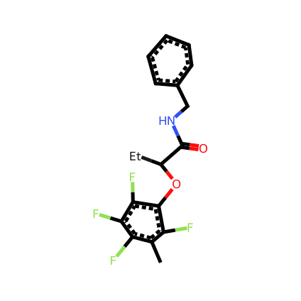 CCC(Oc1c(F)c(C)c(F)c(F)c1F)C(=O)NCc1ccccc1